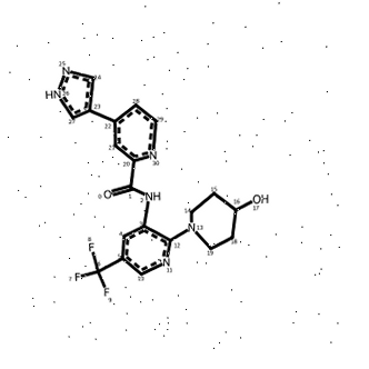 O=C(Nc1cc(C(F)(F)F)cnc1N1CCC(O)CC1)c1cc(-c2cn[nH]c2)ccn1